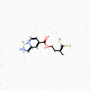 CC(CCOC(=O)C1=CC2=CNSN2C=C1)=C(F)F